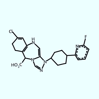 O=C(O)C1C2=C(C=C(Cl)CC2)NC=C2N1C=NN2C1CCC(c2cccc(F)n2)CC1